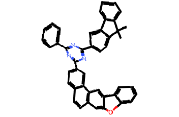 CC1(C)c2ccccc2-c2cc(-c3nc(-c4ccccc4)nc(-c4ccc5ccc6cc7oc8ccccc8c7cc6c5c4)n3)ccc21